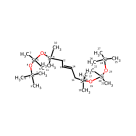 C[Si](C)(C)O[Si](C)(C)O[Si](C)(C)CC=CC[Si](C)(C)O[Si](C)(C)O[Si](C)(C)C